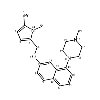 CC(C)c1ccc(COc2ccc3cccc(N4CCN(C)CC4)c3c2)n1C